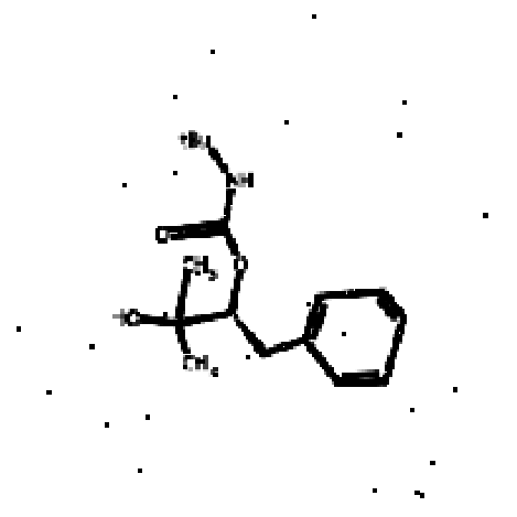 CC(C)(C)NC(=O)O[C@@H](Cc1ccccc1)C(C)(C)O